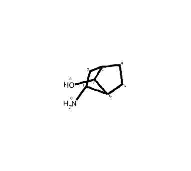 NC1CC2CCC1C2O